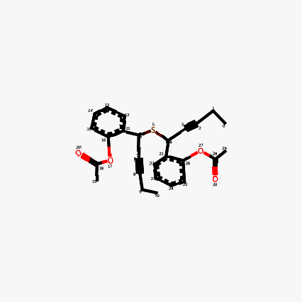 CCC#CC(SC(C#CCC)c1ccccc1OC(C)=O)c1ccccc1OC(C)=O